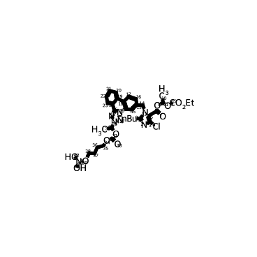 CCCCc1nc(Cl)c(C(=O)OC(C)OC(=O)OCC)n1Cc1ccc(-c2ccccc2-c2nnn(C(C)OC(=O)OCCCCON(O)O)n2)cc1